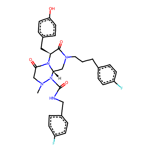 CN1CC(=O)N2[C@@H](Cc3ccc(O)cc3)C(=O)N(CCCc3ccc(F)cc3)C[C@@H]2N1C(=O)NCc1ccc(F)cc1